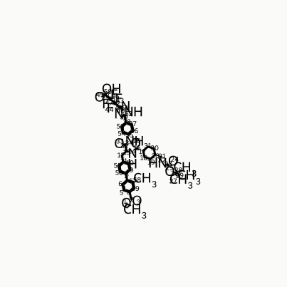 COC(=O)c1ccc(-c2ccc(CC(NC(=O)[C@H]3CC[C@H](CNC(=O)OC(C)(C)C)CC3)C(=O)Nc3ccc(-c4nc(C(F)(F)C(F)(F)C(=O)O)n[nH]4)cc3)cc2)c(C)c1